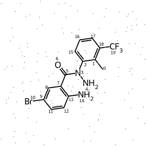 Cc1c(N(N)C(=O)c2cc(Br)ccc2N)cccc1C(F)(F)F